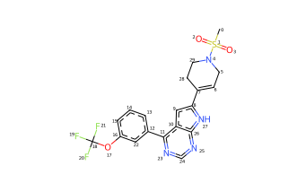 CS(=O)(=O)N1CC=C(c2cc3c(-c4cccc(OC(F)(F)F)c4)ncnc3[nH]2)CC1